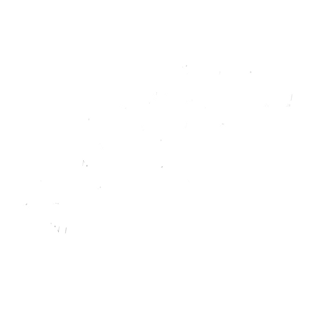 CCC1CCCC(C2(CC(=O)N3CCC4(CCN4)CC3)CC2)I1S(=O)(=O)c1ccc(Cl)cc1